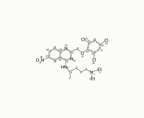 CCN(CC)CCCC(C)Nc1nc(COc2c(Cl)cc(Cl)cc2Cl)nc2ccc([N+](=O)[O-])cc12